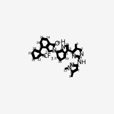 Cc1cnc(Nc2cc(C)n(C)n2)nc1-c1c[nH]c2c(N3Cc4c(cccc4-c4ccccc4C(F)(F)F)C3=O)cccc12